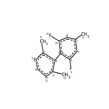 Cc1cc(F)c(-c2c(C)ncnc2C)c(F)c1